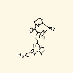 COCC1CCCN1C(=O)CCC(N)C(=O)N1CCC[C@H]1C#N